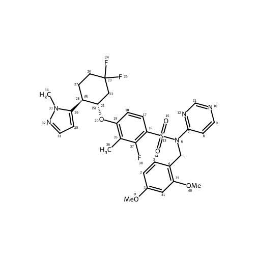 COc1ccc(CN(c2ccncn2)S(=O)(=O)c2ccc(O[C@H]3CC(F)(F)CC[C@@H]3c3ccnn3C)c(C)c2F)c(OC)c1